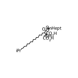 CCCCCCCC(=O)OC(=O)C(CCCCCCCCCCCCCCCC(C)C)C(O)(CC(=O)O)C(=O)O